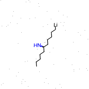 [Li][CH2]CCCCC(=N)CCCCC